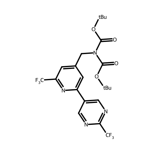 CC(C)(C)OC(=O)N(Cc1cc(-c2cnc(C(F)(F)F)nc2)nc(C(F)(F)F)c1)C(=O)OC(C)(C)C